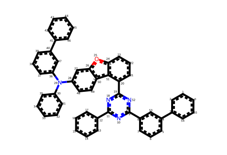 c1ccc(-c2cccc(-c3nc(-c4ccccc4)nc(-c4cccc5oc6cc(N(c7ccccc7)c7cccc(-c8ccccc8)c7)ccc6c45)n3)c2)cc1